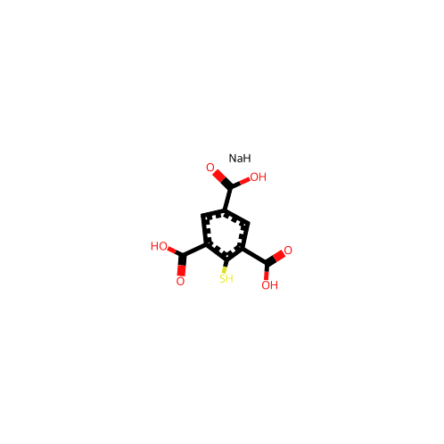 O=C(O)c1cc(C(=O)O)c(S)c(C(=O)O)c1.[NaH]